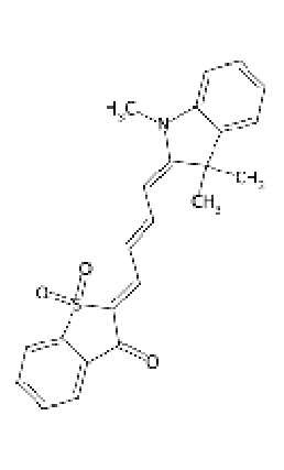 CN1/C(=C/C=C/C=C2/C(=O)c3ccccc3S2(=O)=O)C(C)(C)c2ccccc21